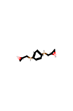 c1cc(SCC2CO2)ccc1SCC1CO1